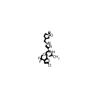 C[C@H]1C[C@@]2(C[C@@H](c3cn(CC4CCS(=O)(=O)C4)nn3)N1)OCC(F)(F)c1cc(Cl)sc12